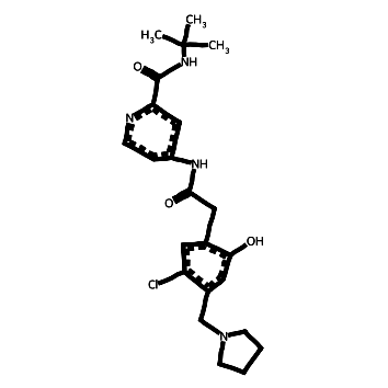 CC(C)(C)NC(=O)c1cc(NC(=O)Cc2cc(Cl)c(CN3CCCC3)cc2O)ccn1